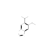 CCc1cc2ncsc2cc1C(C)C